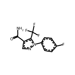 NC(=O)c1cnn(-c2ccc(F)cc2)c1C(F)(F)F